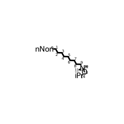 CCCCCCCCCCCCCCCCCC[N+](C)(C)OC(C)C